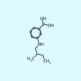 CCC(C)CNc1cccc(B(O)O)c1